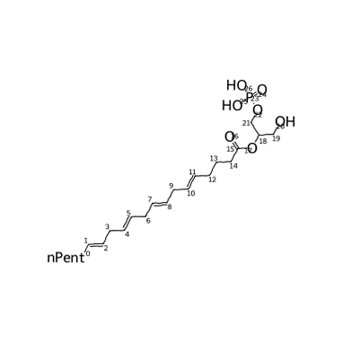 CCCCC/C=C/C/C=C/C/C=C/C/C=C/CCCC(=O)OC(CO)COP(=O)(O)O